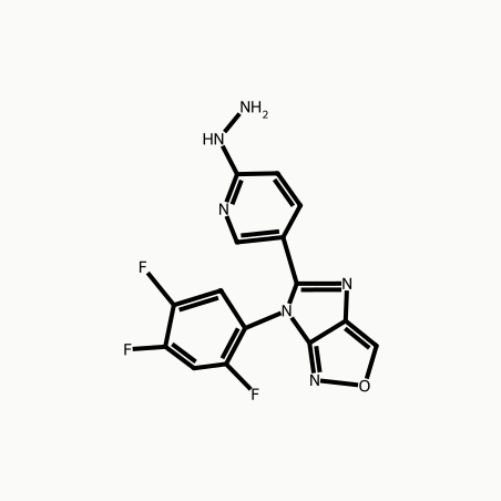 NNc1ccc(-c2nc3conc3n2-c2cc(F)c(F)cc2F)cn1